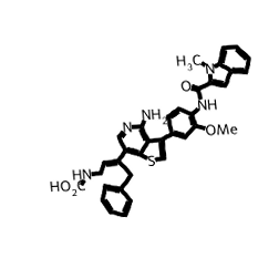 COc1cc(-c2csc3c(/C(=C/CNC(=O)O)Cc4ccccc4)cnc(N)c23)ccc1NC(=O)c1cc2ccccc2n1C